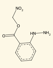 NNc1ccccc1C(=O)OC[N+](=O)[O-]